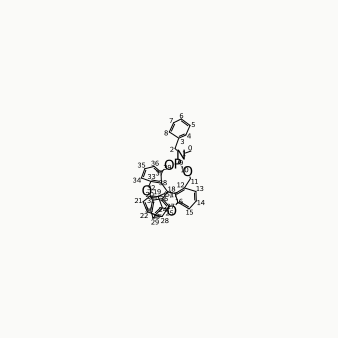 CN(Cc1ccccc1)P1OCc2cccc3c2[C@]2(c4ccccc4O3)c3ccccc3Oc3cccc(c32)O1